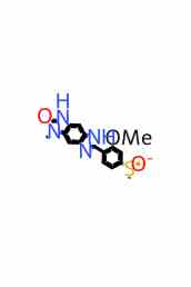 COc1cc([S+](C)[O-])ccc1-c1nc2cc3c(cc2[nH]1)[nH]c(=O)n3C